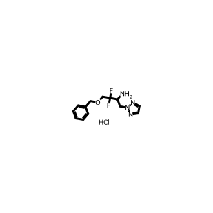 Cl.NC(Cn1nccn1)C(F)(F)COCc1ccccc1